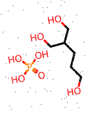 O=P(O)(O)O.OCCCC(CO)CO